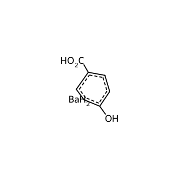 O=C(O)c1ccc(O)cc1.[BaH2]